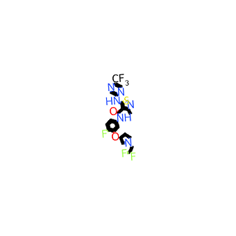 Cc1nsc(Nc2cnc(C(F)(F)F)cn2)c1C(=O)Nc1ccc(F)c(O[C@@H]2CCN(CC(F)F)C2)c1